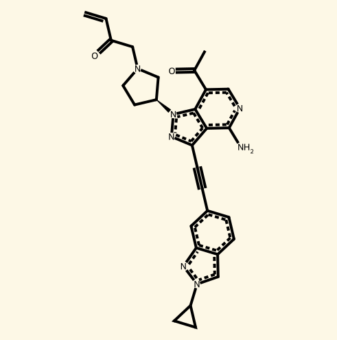 C=CC(=O)CN1CC[C@H](n2nc(C#Cc3ccc4cn(C5CC5)nc4c3)c3c(N)ncc(C(C)=O)c32)C1